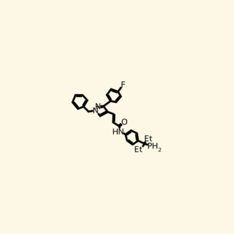 CCC(P)(CC)c1ccc(NC(=O)/C=C/c2cn(Cc3ccccc3)nc2-c2ccc(F)cc2)cc1